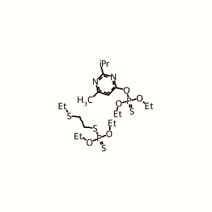 CCOP(=S)(OCC)Oc1cc(C)nc(C(C)C)n1.CCOP(=S)(OCC)SCCSCC